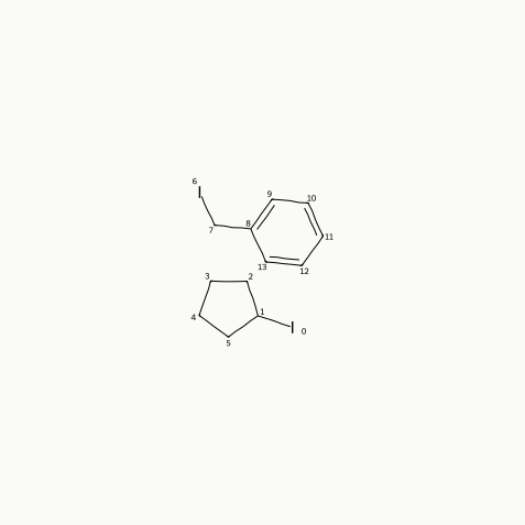 IC1CCCC1.ICc1ccccc1